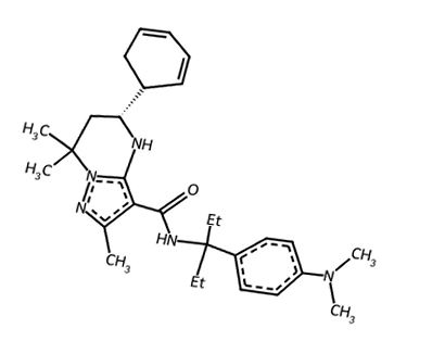 CCC(CC)(NC(=O)c1c(C)nn2c1N[C@@H](C1C=CC=CC1)CC2(C)C)c1ccc(N(C)C)cc1